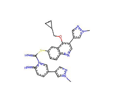 Cn1cc(-c2ccc(=N)n(C(=N)Sc3ccc4ncc(-c5cnn(C)c5)c(OCC5CC5)c4c3)c2)cn1